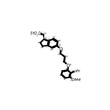 CCCc1c(OC)cccc1OCCCOc1ccc2c(c1)CC[C@H]2CC(=O)OCC